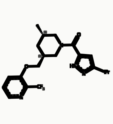 CC(C)c1cc(C(=O)N2C[C@@H](C)C[C@H](COc3cccnc3C(F)(F)F)C2)[nH]n1